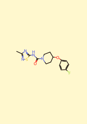 Cc1nsc(NC(=O)N2CCC(Oc3ccc(F)cc3)CC2)n1